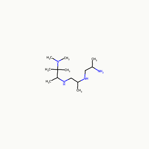 CC(N)CNC(C)CNC(C)C(C)(C)N(C)C